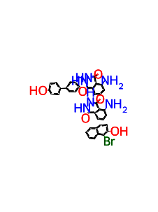 Nc1cccc2c(=O)[nH][nH]c(=O)c12.Nc1cccc2c(=O)[nH][nH]c(=O)c12.Oc1ccc(-c2ccccc2)cc1.Oc1ccc2ccccc2c1Br